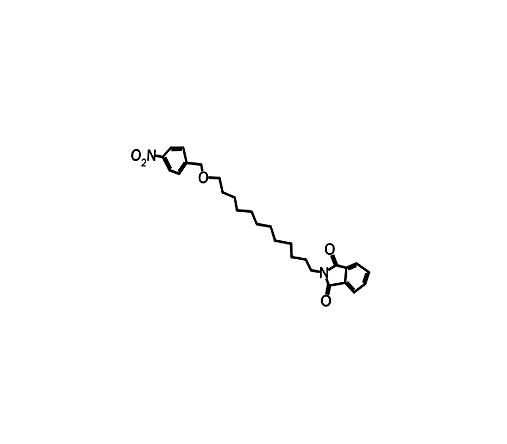 O=C1c2ccccc2C(=O)N1CCCCCCCCCCCCOCc1ccc([N+](=O)[O-])cc1